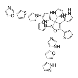 c1c[nH]c(C2(c3ncc[nH]3)C(c3cc[nH]n3)=C(c3cccs3)ON2c2ccco2)c1.c1c[nH]cn1.c1cc[nH]c1.c1ccoc1.c1ccsc1.c1cn[nH]c1.c1cocn1